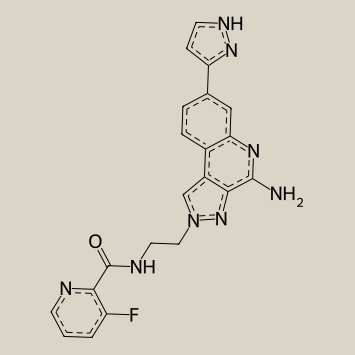 Nc1nc2cc(-c3cc[nH]n3)ccc2c2cn(CCNC(=O)c3ncccc3F)nc12